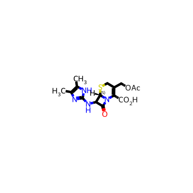 CC(=O)OCC1=C(C(=O)O)N2C(=O)C(Nc3nc(C)c(C)[nH]3)[C@@H]2SC1